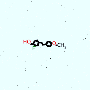 CCOc1ccc(CCc2ccc(CO)c(F)c2)cc1